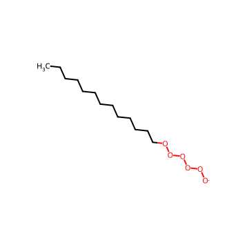 CCCCCCCCCCCCCOOOOO[O]